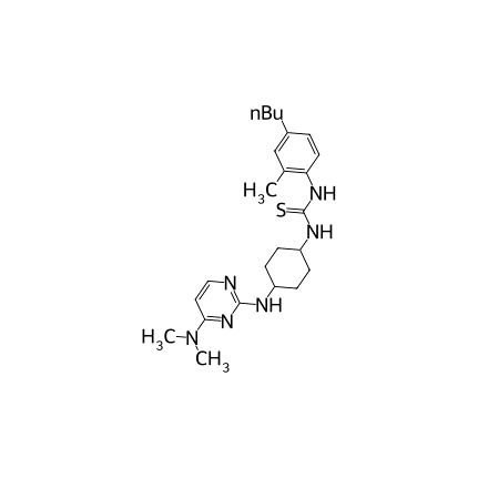 CCCCc1ccc(NC(=S)NC2CCC(Nc3nccc(N(C)C)n3)CC2)c(C)c1